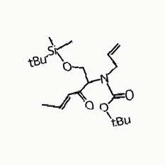 C=CCN(C(=O)OC(C)(C)C)C(CO[Si](C)(C)C(C)(C)C)C(=O)C=CC